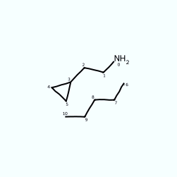 NCCC1CC1.[CH2]CCCC